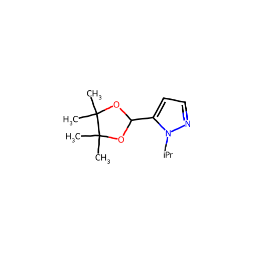 CC(C)n1nccc1C1OC(C)(C)C(C)(C)O1